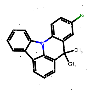 CC1(C)c2cc(Br)ccc2-n2c3ccccc3c3cccc1c32